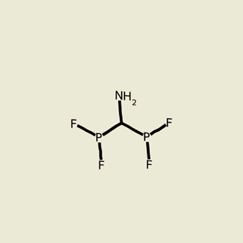 NC(P(F)F)P(F)F